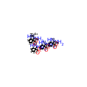 N=C(N)C1(C(=O)[O-])C=CC=C1.N=C(N)C1(C(=O)[O-])C=CC=C1.N=C(N)C1(C(=O)[O-])C=CC=C1.N=C(N)C1(C(=O)[O-])C=CC=C1.[Ti+4]